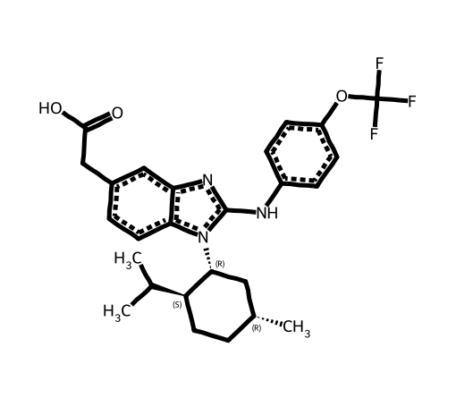 CC(C)[C@@H]1CC[C@@H](C)C[C@H]1n1c(Nc2ccc(OC(F)(F)F)cc2)nc2cc(CC(=O)O)ccc21